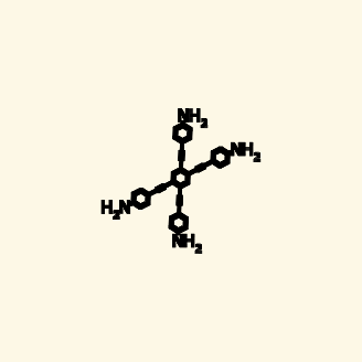 Nc1ccc(C#Cc2cc(C#Cc3ccc(N)cc3)c(C#Cc3ccc(N)cc3)cc2C#Cc2ccc(N)cc2)cc1